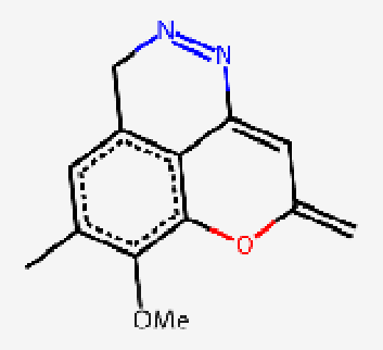 C=C1C=C2N=NCc3cc(C)c(OC)c(c32)O1